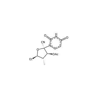 CC[C@H]1O[C@@](C#N)(n2ccc(=O)[nH]c2=O)[C@@H](OC(C)=O)[C@@H]1C